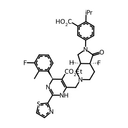 CCOC(=O)C1=C(CN2CC[C@]3(F)C(=O)N(c4ccc(C(C)C)c(C(=O)O)c4)C[C@@H]3C2)NC(c2nccs2)=N[C@H]1c1cccc(F)c1C